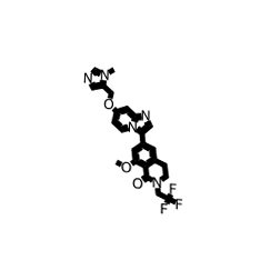 COc1cc(-c2cnc3cc(OCc4cncn4C)ccn23)cc2c1C(=O)N(CC(F)(F)F)CC2